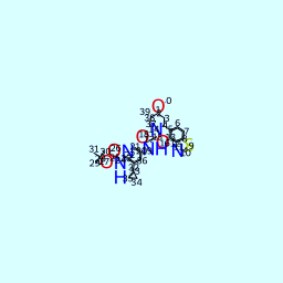 COC1C[C@@H](c2ccc3scnc3c2)N(C(=O)C(=O)Nc2cnc(NC(=O)OC(C)(C)C)c(C3CC3)c2)C[C@@H]1C